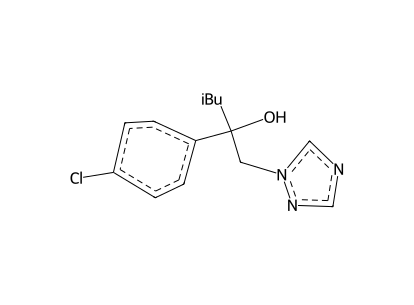 CCC(C)C(O)(Cn1cncn1)c1ccc(Cl)cc1